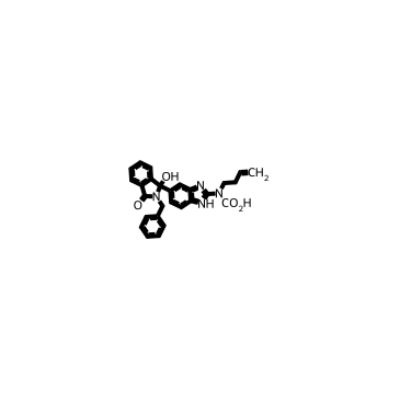 C=CCCN(C(=O)O)c1nc2cc(C3(O)c4ccccc4C(=O)N3Cc3ccccc3)ccc2[nH]1